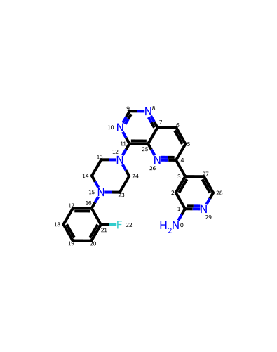 Nc1cc(-c2ccc3ncnc(N4CCN(c5ccccc5F)CC4)c3n2)ccn1